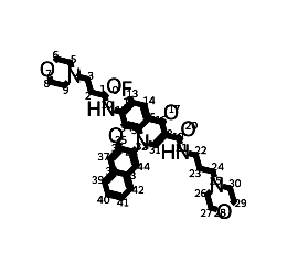 O=C(CCN1CCOCC1)Nc1c(F)cc2c(=O)c(C(=O)NCCCN3CCOCC3)cn3c2c1Oc1cc2ccccc2cc1-3